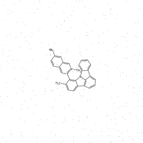 Cc1ccc2c3cccc4c5ccccc5n(c2c1-c1cc2ccc(C(C)(C)C)cc2c[n+]1C)c43